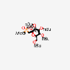 CCCCOC[C@H]1O[C@@](O)(CP(=O)(OC)OC)[C@H](OCCCC)[C@@H](OCCCC)[C@@H]1OCCCC